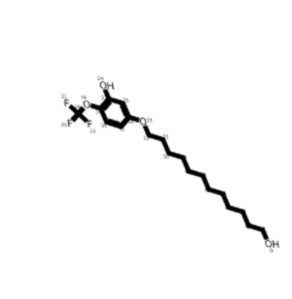 OCCCCCCCCCCCCOc1ccc(OC(F)(F)F)c(O)c1